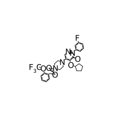 O=c1c(OC2CCCC2)c(N2CCN(S(=O)(=O)c3ccccc3OC(F)(F)F)CC2)cnn1-c1cccc(F)c1